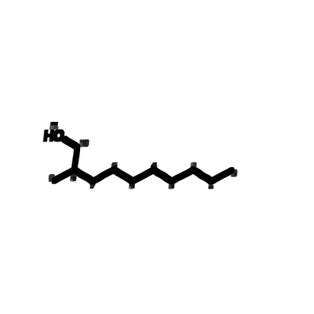 CCCCCCCCC(C)CO